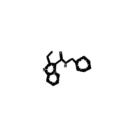 CCc1nc2ccccn2c1C(=O)NCc1ccccc1